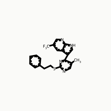 Cc1cnc(SCCc2ccccc2)nc1-c1c[nH]c2ncc(C(F)(F)F)cc12